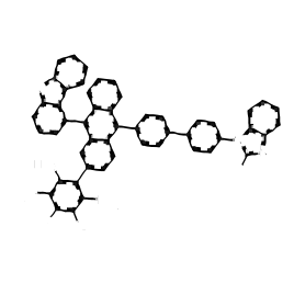 Bc1c(B)c(B)c(-c2ccc3c(-c4ccc(-c5ccc(-n6c(CC)nc7ccccc76)cc5)cc4)c4ccccc4c(-c4cccc5sc6ccccc6c45)c3c2)c(B)c1B